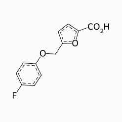 O=C(O)c1ccc(COc2ccc(F)cc2)o1